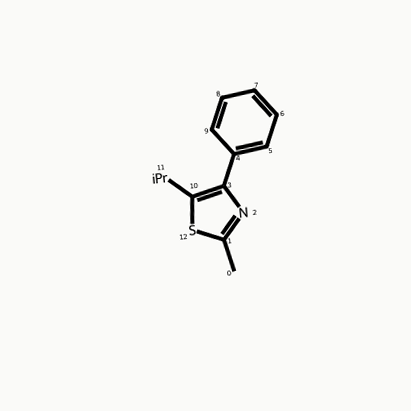 Cc1nc(-c2ccccc2)c(C(C)C)s1